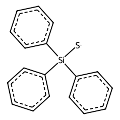 [S][Si](c1ccccc1)(c1ccccc1)c1ccccc1